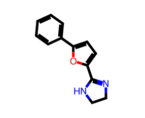 c1ccc(-c2ccc(C3=NCCN3)o2)cc1